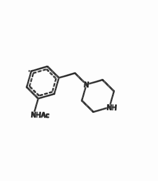 CC(=O)Nc1c[c]cc(CN2CCNCC2)c1